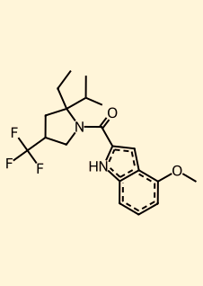 CCC1(C(C)C)CC(C(F)(F)F)CN1C(=O)c1cc2c(OC)cccc2[nH]1